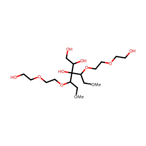 COCC(OCCOCCO)C(O)(C(O)CO)C(COC)OCCOCCO